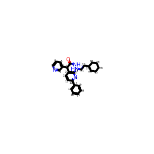 NC(=O)C(c1cccnc1)c1ccc(-c2ccccc2)nc1NCCC1CCCCC1